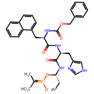 C/C(C(=O)O)=[P+](/[O-])O[C@@H](CC(C)C)NC(=O)[C@H](Cc1c[nH]cn1)NC(=O)[C@@H](Cc1cccc2ccccc12)NC(=O)OCc1ccccc1